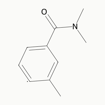 Cc1[c]ccc(C(=O)N(C)C)c1